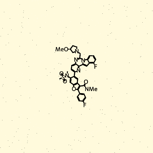 CNC(=O)c1c(-c2ccc(F)cc2)oc2cc(N(C)S(C)(=O)=O)c(-c3ccc4nc(CN5CC[C@H](OC)C5)n5c6cccc(F)c6cc5c4n3)cc12